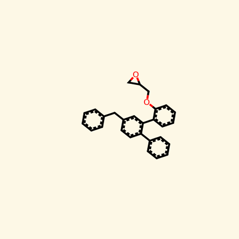 c1ccc(Cc2ccc(-c3ccccc3)c(-c3ccccc3OCC3CO3)c2)cc1